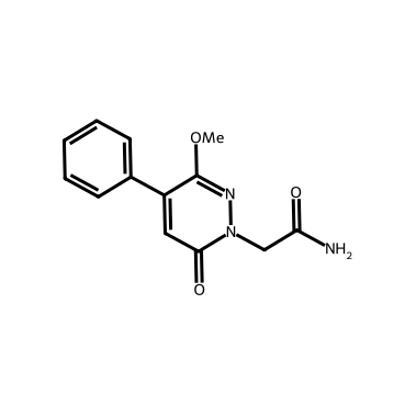 COc1nn(CC(N)=O)c(=O)cc1-c1ccccc1